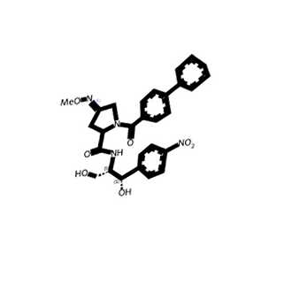 CO/N=C1\CC(C(=O)N[C@@H](CO)[C@@H](O)c2ccc([N+](=O)[O-])cc2)N(C(=O)c2ccc(-c3ccccc3)cc2)C1